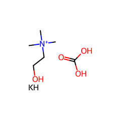 C[N+](C)(C)CCO.O=C(O)O.[KH]